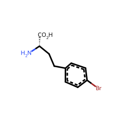 N[C@@H](CCc1ccc(Br)cc1)C(=O)O